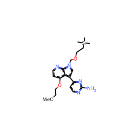 COCCOc1ccnc2c1c(-c1ccnc(N)n1)cn2COCC[Si](C)(C)C